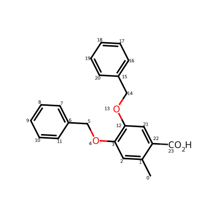 Cc1cc(OCc2ccccc2)c(OCc2ccccc2)cc1C(=O)O